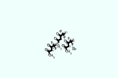 CC(=O)CC(=O)C(F)(F)F.CC(=O)CC(=O)C(F)(F)F.CC(=O)CC(=O)C(F)(F)F.[Tb]